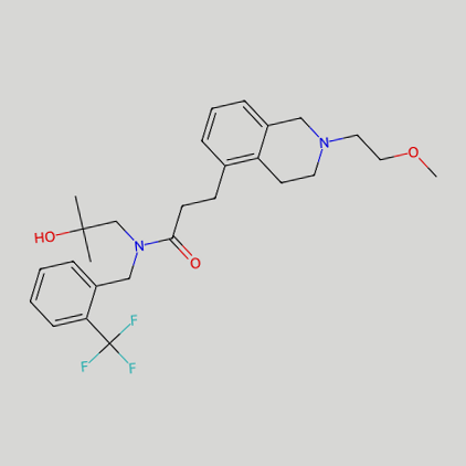 COCCN1CCc2c(CCC(=O)N(Cc3ccccc3C(F)(F)F)CC(C)(C)O)cccc2C1